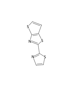 c1csc(-c2nc3sccc3s2)n1